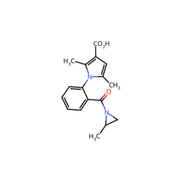 Cc1cc(C(=O)O)c(C)n1-c1ccccc1C(=O)N1CC1C